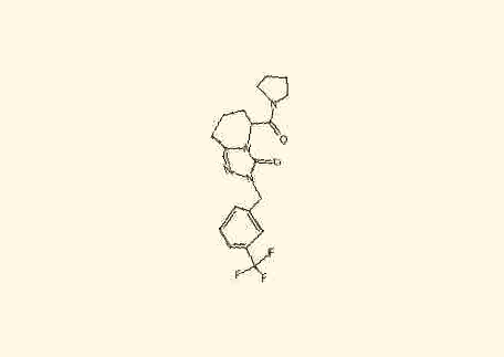 O=C(C1CCCc2nn(Cc3cccc(C(F)(F)F)c3)c(=O)n21)N1CCCC1